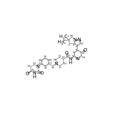 CC1(C)Cc2c(-c3cc(NC(=O)C4CCN(Cc5cccc(N6CCC(=O)NC6=O)c5)CC4)ncc3Cl)cnn2C1